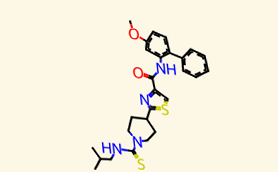 COc1ccc(-c2ccccc2)c(NC(=O)c2csc(C3CCN(C(=S)NCC(C)C)CC3)n2)c1